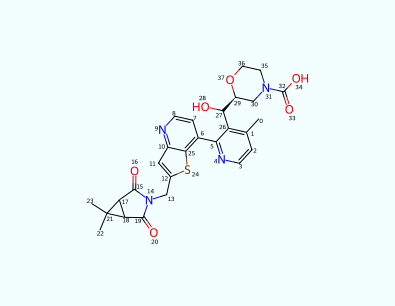 Cc1ccnc(-c2ccnc3cc(CN4C(=O)C5C(C4=O)C5(C)C)sc23)c1C(O)[C@@H]1CN(C(=O)O)CCO1